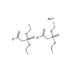 CCOP(=O)(CC(=O)[O-])OCC.CCOP(=O)(CC(=O)[O-])OCC.[Pb+2]